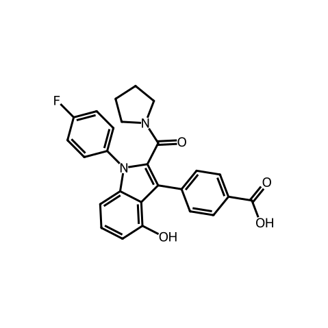 O=C(O)c1ccc(-c2c(C(=O)N3CCCC3)n(-c3ccc(F)cc3)c3cccc(O)c23)cc1